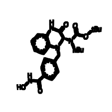 CCCCN(C(=O)OC(C)(C)C)[C@@H]1C(=O)Nc2ccccc2N1Cc1ccc(C(=O)NO)cc1